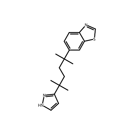 CC(C)(CCC(C)(C)c1cc[nH]n1)c1ccc2ncsc2c1